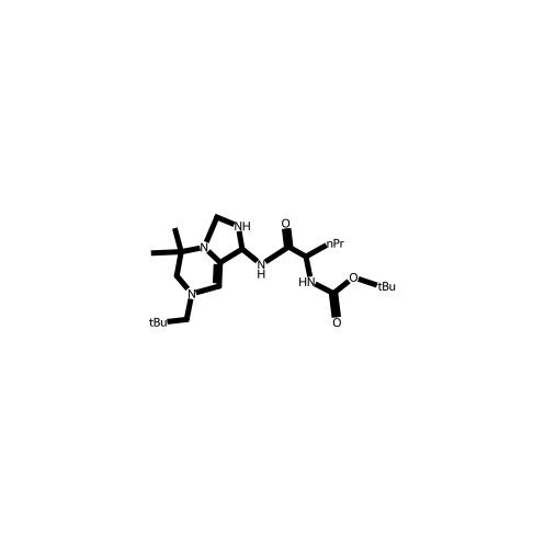 CCCC(NC(=O)OC(C)(C)C)C(=O)NC1NCN2C1=CN(CC(C)(C)C)CC2(C)C